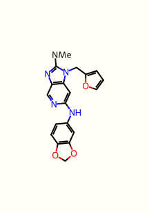 CNc1nc2cnc(Nc3ccc4c(c3)OCO4)cc2n1Cc1ccco1